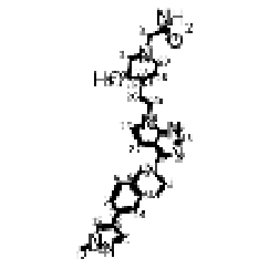 CCN(Cc1ccc(-c2cnn(C)c2)cc1)c1ncnc2c1ccn2CC[C@@H]1CCN(CC(N)=O)C[C@H]1O